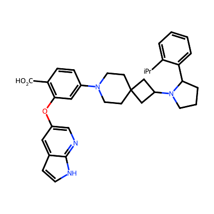 CC(C)c1ccccc1C1CCCN1C1CC2(CCN(c3ccc(C(=O)O)c(Oc4cnc5[nH]ccc5c4)c3)CC2)C1